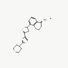 CS(=O)(=O)N/N=C1\CCCc2c1cccc2C1CC(c2csc(C3CCNCC3)n2)=NO1